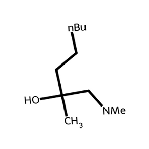 CCCCCCC(C)(O)CNC